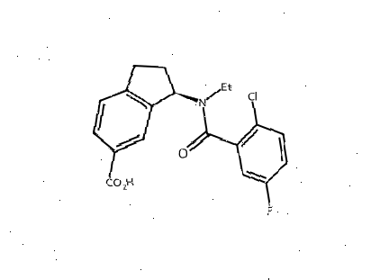 CCN(C(=O)c1cc(F)ccc1Cl)[C@@H]1CCc2ccc(C(=O)O)cc21